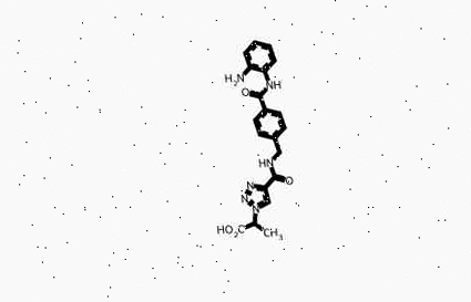 CC(C(=O)O)n1cc(C(=O)NCc2ccc(C(=O)Nc3ccccc3N)cc2)nn1